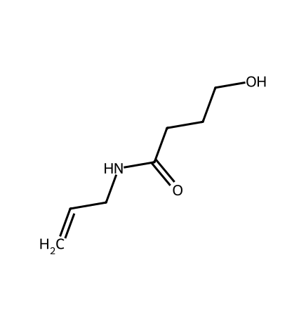 C=CCNC(=O)CCCO